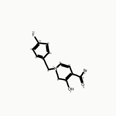 O=C(Br)C1=C(O)CN(Cc2ccc(F)cc2)C=C1